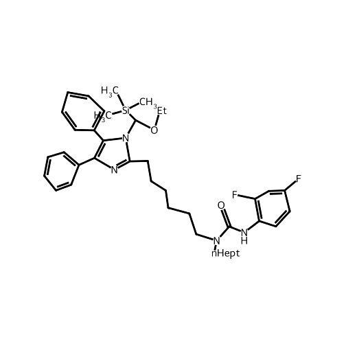 CCCCCCCN(CCCCCCc1nc(-c2ccccc2)c(-c2ccccc2)n1C(OCC)[Si](C)(C)C)C(=O)Nc1ccc(F)cc1F